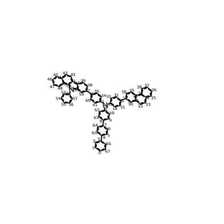 c1ccc(-c2ccc(-c3ccc(N(c4ccc(-c5ccc6c(ccc7ccccc76)c5)cc4)c4ccc(-c5ccc6c7ccc8ccccc8c7n(-c7ccccc7)c6c5)cc4)cc3)cc2)cc1